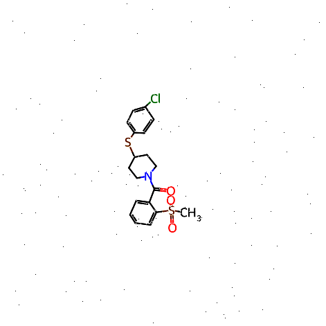 CS(=O)(=O)c1ccccc1C(=O)N1CCC(Sc2ccc(Cl)cc2)CC1